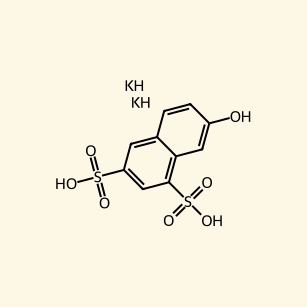 O=S(=O)(O)c1cc(S(=O)(=O)O)c2cc(O)ccc2c1.[KH].[KH]